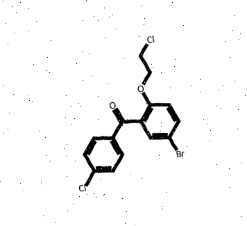 O=C(c1ccc(Cl)cc1)c1cc(Br)ccc1OCCCl